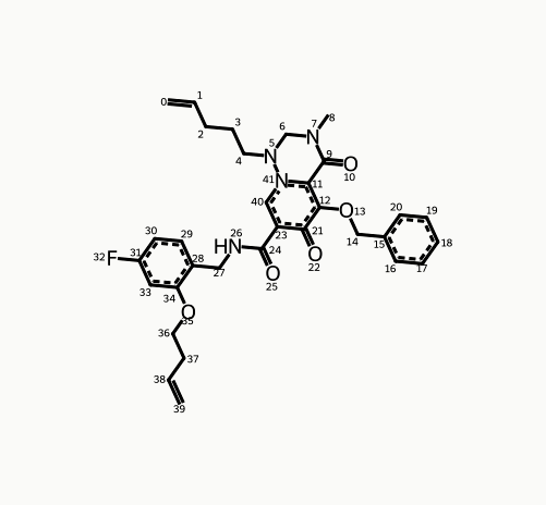 C=CCCCN1CN(C)C(=O)c2c(OCc3ccccc3)c(=O)c(C(=O)NCc3ccc(F)cc3OCCC=C)cn21